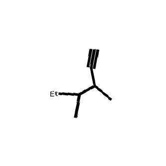 C#CC(C)C(C)CC